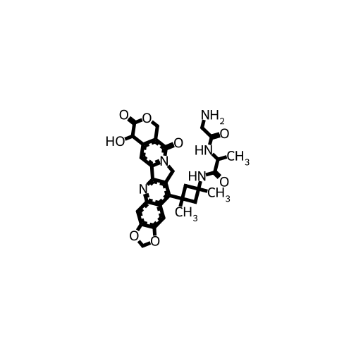 CC(NC(=O)CN)C(=O)NC1(C)CC(C)(c2c3c(nc4cc5c(cc24)OCO5)-c2cc4c(c(=O)n2C3)COC(=O)C4O)C1